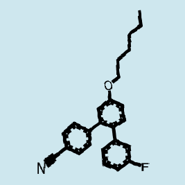 CCCCCCOc1ccc(-c2cccc(F)c2)c(-c2ccc(C#N)cc2)c1